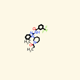 C=CC(=O)N1CCCCC(n2c(NC(=O)c3cccc(C(F)(F)F)c3)nc3cccc(C)c32)C1